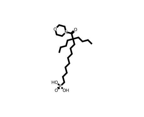 CCCCC(CCCC)(CCCCCCCCCP(=O)(O)O)C(=O)N1CCOCC1